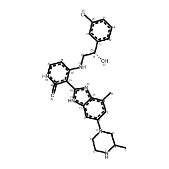 Cc1cc(N2CCNC(C)C2)cc2[nH]c(-c3c(NC[C@@H](O)c4cccc(Cl)c4)cc[nH]c3=O)nc12